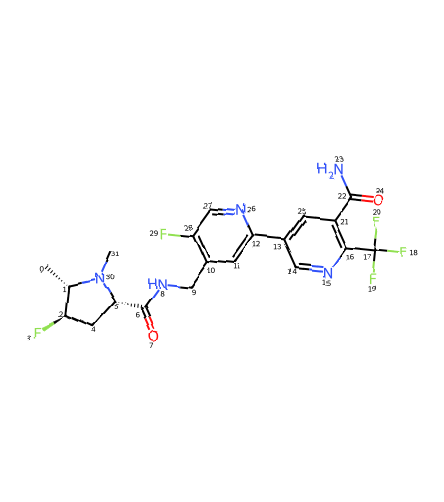 C[C@H]1[C@H](F)C[C@@H](C(=O)NCc2cc(-c3cnc(C(F)(F)F)c(C(N)=O)c3)ncc2F)N1C